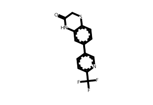 O=C1CSc2ccc(-c3ccc(C(F)(F)F)nc3)cc2N1